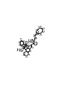 O=C(/C=C/c1cc2c(c(C(=O)O)c1NS(=O)(=O)c1ccccc1)CCCC2)NCCN1CCCCC1